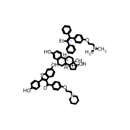 CC/C(=C(\c1ccccc1)c1ccc(OCCN(C)C)cc1)c1ccccc1.C[C@]12CC[C@@H]3c4ccc(O)cc4CC[C@H]3[C@@H]1CC[C@@H]2O.O=C(c1ccc(OCCN2CCCCC2)cc1)c1c(-c2ccc(O)cc2)sc2cc(O)ccc12